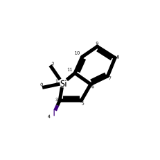 C[Si]1(C)C(I)=Cc2ccccc21